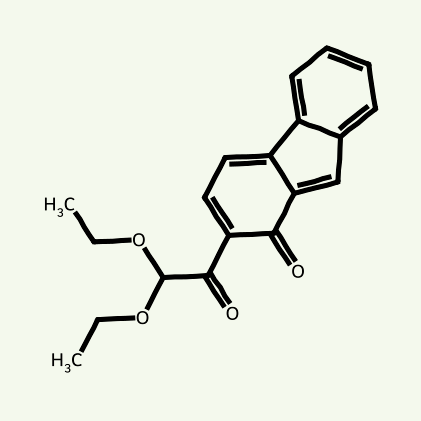 CCOC(OCC)C(=O)C1=CC=C2C(=Cc3ccccc32)C1=O